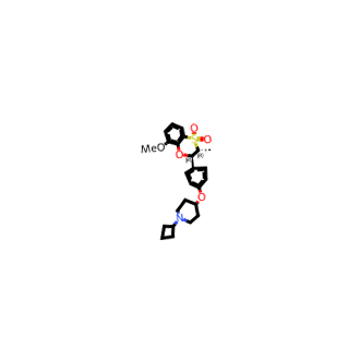 COc1cccc2c1O[C@H](c1ccc(OC3CCN(C4CCC4)CC3)cc1)[C@@H](C)S2(=O)=O